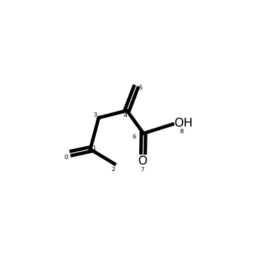 C=C(C)CC(=C)C(=O)O